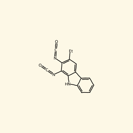 CCc1cc2c([nH]c3ccccc32)c(N=C=O)c1N=C=O